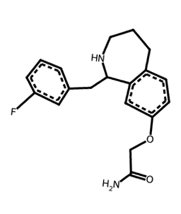 NC(=O)COc1ccc2c(c1)C(Cc1cccc(F)c1)NCCC2